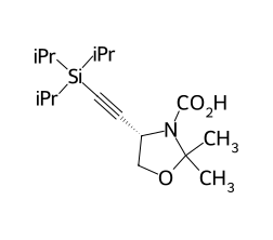 CC(C)[Si](C#C[C@H]1COC(C)(C)N1C(=O)O)(C(C)C)C(C)C